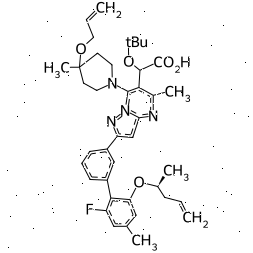 C=CCOC1(C)CCN(c2c(C(OC(C)(C)C)C(=O)O)c(C)nc3cc(-c4cccc(-c5c(F)cc(C)cc5O[C@@H](C)CC=C)c4)nn23)CC1